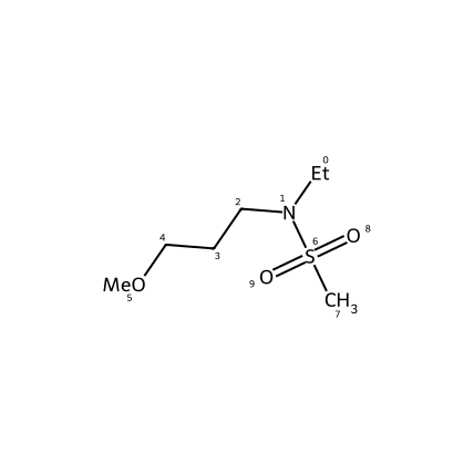 CCN(CCCOC)S(C)(=O)=O